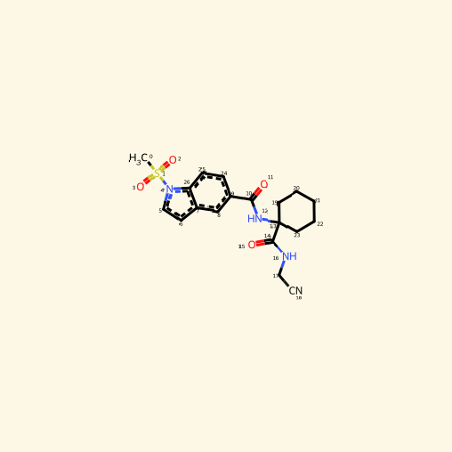 CS(=O)(=O)n1ccc2cc(C(=O)NC3(C(=O)NCC#N)CCCCC3)ccc21